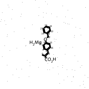 CC(=Cc1ccc(OCc2ccccc2)cc1)C(=O)O.[MgH2]